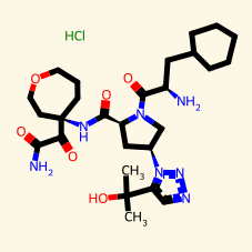 CC(C)(O)c1cnnn1[C@H]1C[C@@H](C(=O)N[C@]2(C(=O)C(N)=O)CCCOCC2)N(C(=O)[C@H](N)CC2CCCCC2)C1.Cl